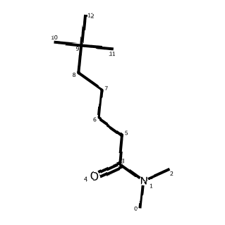 CN(C)C(=O)CCCCC(C)(C)C